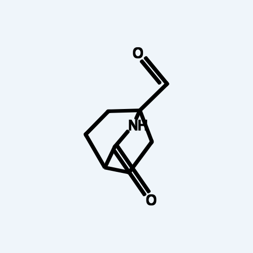 O=CC12CCC(CC1)C(=O)N2